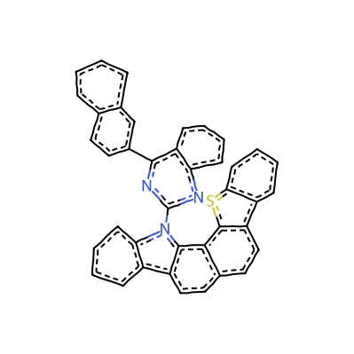 c1ccc2cc(-c3nc(-n4c5ccccc5c5ccc6ccc7c8ccccc8sc7c6c54)nc4ccccc34)ccc2c1